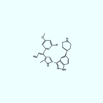 C=C/C=C(/c1cc(F)cc(OC)c1)c1cc(-c2n[nH]c3ccc(C4CCNCC4)cc23)[nH]c1C